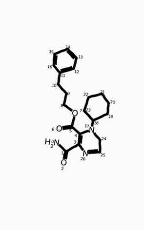 NC(=O)C1=C(C(=O)OCCCc2ccccc2)N(C2CCCCC2)CC=N1